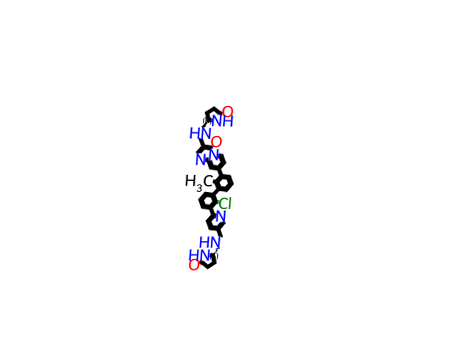 Cc1c(-c2ccn3c(=O)c(CNC[C@H]4CCC(=O)N4)cnc3c2)cccc1-c1cccc(-c2ccc(CNC[C@@H]3CCC(=O)N3)cn2)c1Cl